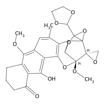 COc1c2c(c(O)c3c4c(c(C)cc13)C1C3OC5(C6OCCO6)OC15[C@]1(CO1)[C@]3(OC)O4)C(=O)CCC2